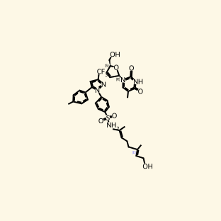 CC(C)=CCC/C(C)=C/CO.Cc1ccc(-c2cc(C(F)(F)F)nn2-c2ccc(S(N)(=O)=O)cc2)cc1.Cc1cn([C@H]2C=C[C@@H](CO)O2)c(=O)[nH]c1=O